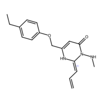 C=C/C=C1\NC(COc2ccc(CC)cc2)=CC(=O)N1NC